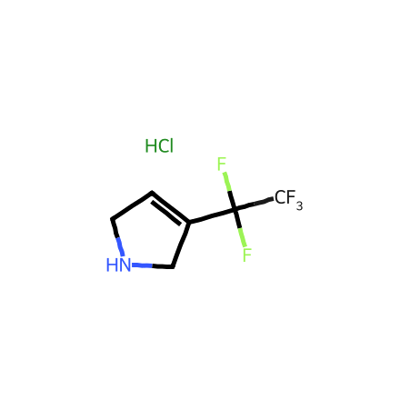 Cl.FC(F)(F)C(F)(F)C1=CCNC1